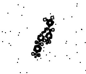 CS(=O)(=O)c1ccc(S(=O)(=O)C2CCN(CCCN(C(=O)C3CCN(S(C)(=O)=O)CC3)c3ccc(Cl)c(Cl)c3)CC2)cc1